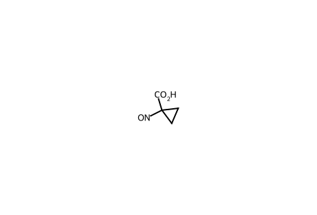 O=NC1(C(=O)O)CC1